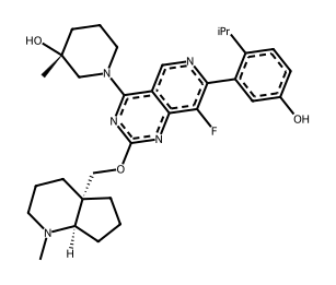 CC(C)c1ccc(O)cc1-c1ncc2c(N3CCC[C@@](C)(O)C3)nc(OC[C@]34CCC[C@H]3N(C)CCC4)nc2c1F